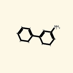 NC1=CCCC(C2=CC=CCC2)=C1